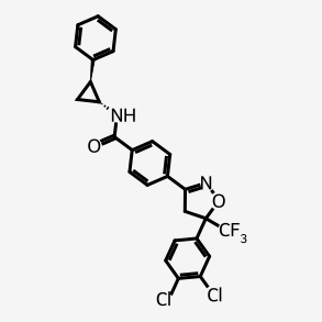 O=C(N[C@@H]1C[C@H]1c1ccccc1)c1ccc(C2=NOC(c3ccc(Cl)c(Cl)c3)(C(F)(F)F)C2)cc1